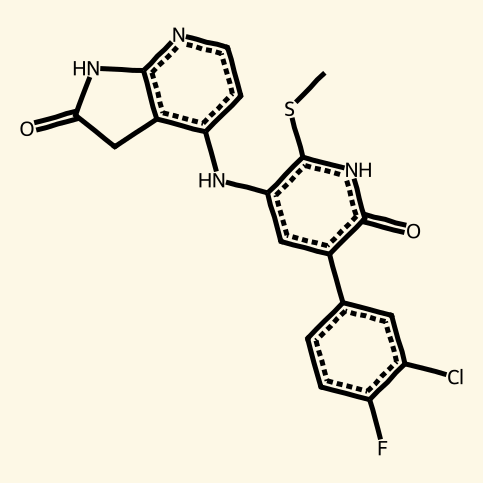 CSc1[nH]c(=O)c(-c2ccc(F)c(Cl)c2)cc1Nc1ccnc2c1CC(=O)N2